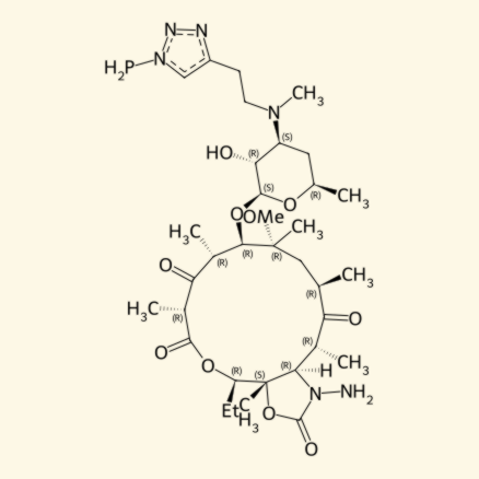 CC[C@H]1OC(=O)[C@H](C)C(=O)[C@H](C)[C@@H](O[C@@H]2O[C@H](C)C[C@H](N(C)CCc3cn(P)nn3)[C@H]2O)[C@](C)(OC)C[C@@H](C)C(=O)[C@H](C)[C@H]2N(N)C(=O)O[C@]12C